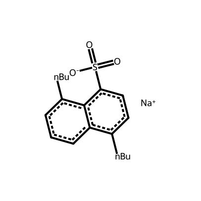 CCCCc1ccc(S(=O)(=O)[O-])c2c(CCCC)cccc12.[Na+]